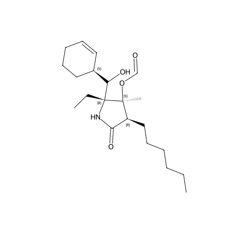 CCCCCC[C@H]1C(=O)N[C@](CC)(C(O)[C@@H]2C=CCCC2)[C@@]1(C)OC=O